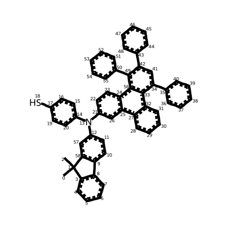 CC1(C)c2ccccc2-c2ccc(N(c3ccc(S)cc3)c3ccc4c(c3)c3ccccc3c3c(-c5ccccc5)cc(-c5ccccc5)c(-c5ccccc5)c43)cc21